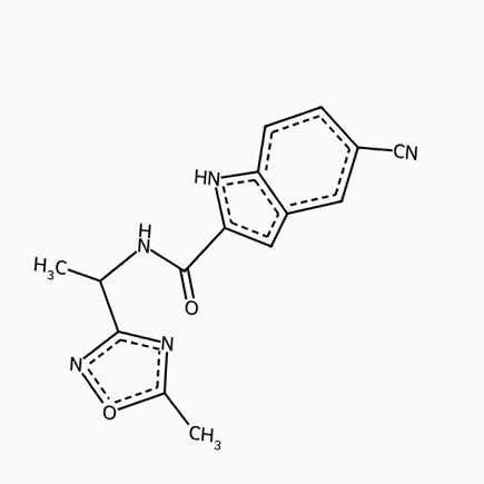 Cc1nc(C(C)NC(=O)c2cc3cc(C#N)ccc3[nH]2)no1